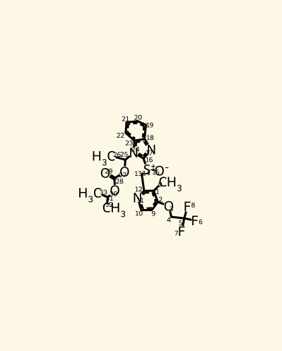 Cc1c(OCC(F)(F)F)ccnc1C[S@+]([O-])c1nc2ccccc2n1C(C)OC(=O)OC(C)C